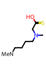 CNCCCCN(C)CC(O)=S